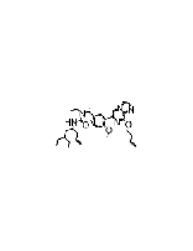 C=CCCOc1nc(-c2cc([C@@H](C)N(CC)C(=O)NC(CC=C)CC(CC)CC)ncc2OC)cn2ccnc12